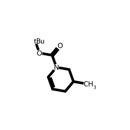 CC1CC=CN(C(=O)OC(C)(C)C)C1